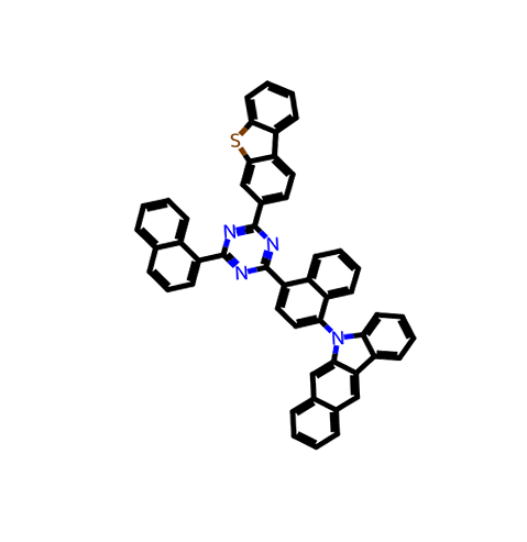 c1ccc2cc3c(cc2c1)c1ccccc1n3-c1ccc(-c2nc(-c3ccc4c(c3)sc3ccccc34)nc(-c3cccc4ccccc34)n2)c2ccccc12